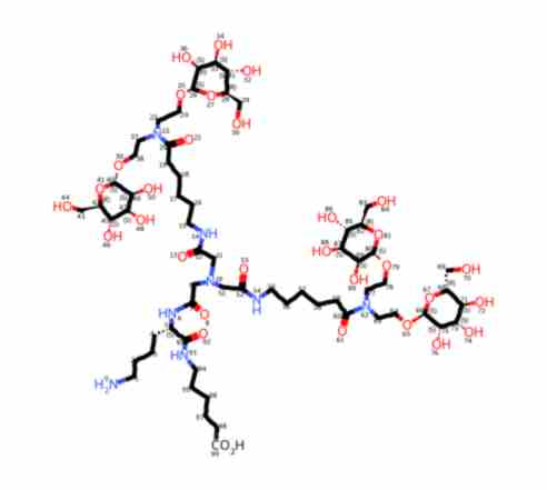 NCCCC[C@H](NC(=O)CN(CC(=O)NCCCCCC(=O)N(CCO[C@H]1O[C@H](CO)[C@@H](O)[C@H](O)[C@@H]1O)CCO[C@H]1O[C@H](CO)[C@@H](O)[C@H](O)[C@@H]1O)CC(=O)NCCCCCC(=O)N(CCO[C@H]1O[C@H](CO)[C@@H](O)[C@H](O)[C@@H]1O)CCO[C@H]1O[C@H](CO)[C@@H](O)[C@H](O)[C@@H]1O)C(=O)NCCCCCC(=O)O